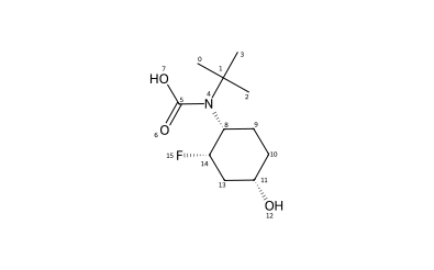 CC(C)(C)N(C(=O)O)[C@@H]1CC[C@H](O)C[C@@H]1F